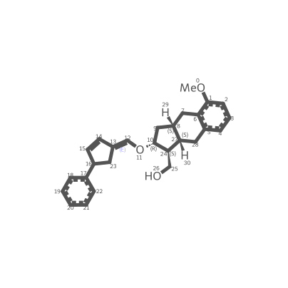 COc1cccc2c1C[C@H]1C[C@@H](O/C=C3/C=CC(c4ccccc4)C3)[C@H](CO)[C@H]1C2